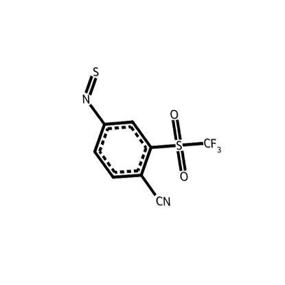 N#Cc1ccc(N=S)cc1S(=O)(=O)C(F)(F)F